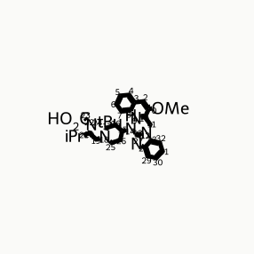 COc1cc2ccccc2nc1Cn1c(NC2CCN(CC(C(C)C)N(C(=O)O)C(C)(C)C)CC2)nc2ccccc21